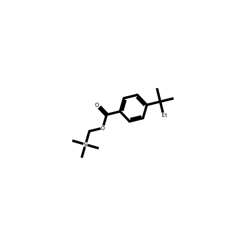 CCC(C)(C)c1ccc(C(=O)OC[Si](C)(C)C)cc1